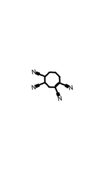 N#C/C1=C(\C#N)CC(C#N)C(C#N)CCC1